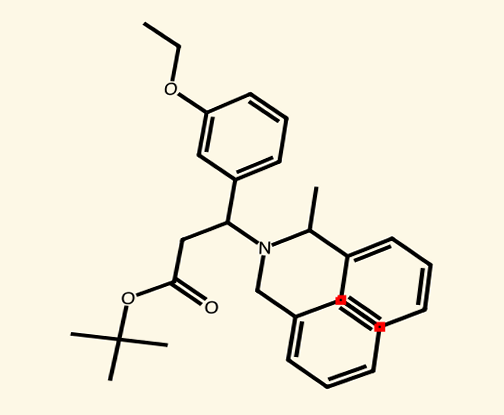 CCOc1cccc(C(CC(=O)OC(C)(C)C)N(Cc2ccccc2)C(C)c2ccccc2)c1